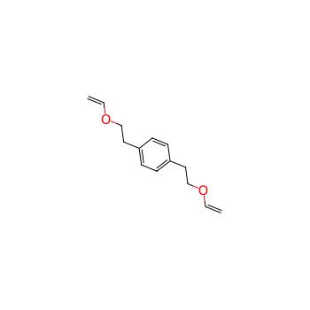 C=COCCc1ccc(CCOC=C)cc1